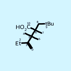 C=C(CC)C(C)(C)C(C)(CC(C)(C)C)C(=O)O